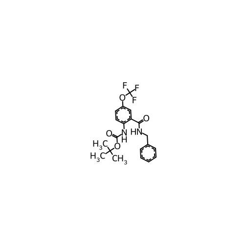 CC(C)(C)OC(=O)Nc1ccc(OC(F)(F)F)cc1C(=O)NCc1ccccc1